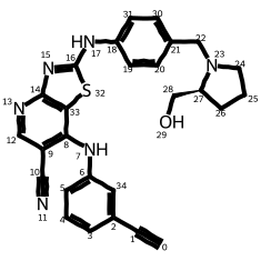 C#Cc1cccc(Nc2c(C#N)cnc3nc(Nc4ccc(CN5CCC[C@H]5CO)cc4)sc23)c1